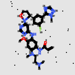 C=CC(=O)Nc1cc(Nc2cc(N3OCC[C@@H]3c3cc(F)cc(-c4ncnn4C)c3)ncn2)c(OC)cc1N(C)CCN(C)C